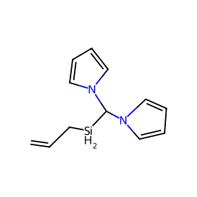 C=CC[SiH2]C(n1cccc1)n1cccc1